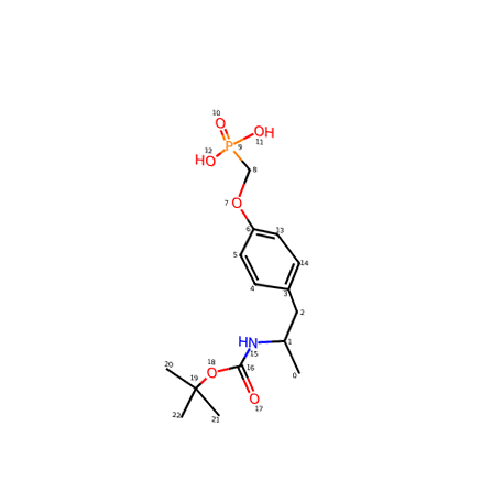 CC(Cc1ccc(OCP(=O)(O)O)cc1)NC(=O)OC(C)(C)C